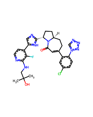 CC(C)(O)CNc1nccc(-c2cnc([C@@H]3CC[C@H]4CCC(c5cc(Cl)ccc5-n5cnnn5)=CC(=O)N43)[nH]2)c1F